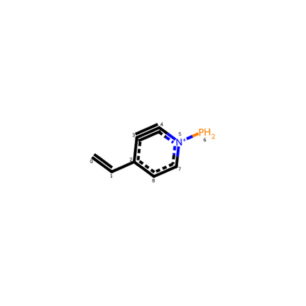 C=Cc1c#c[n+](P)cc1